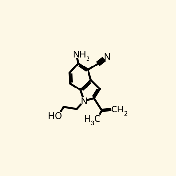 C=C(C)c1cc2c(C#N)c(N)ccc2n1CCO